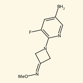 Bc1cnc(N2CC(=NOC)C2)c(F)c1